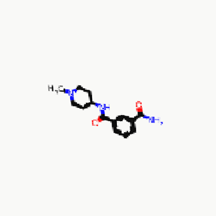 CN1CCC(NC(=O)c2cccc(C(N)=O)c2)CC1